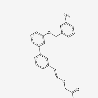 Cc1cccc(COc2cccc(-c3cccc(/C=N/OCC(=O)O)c3)c2)c1